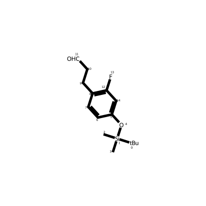 CC(C)(C)[Si](C)(C)Oc1ccc(CCC=O)c(F)c1